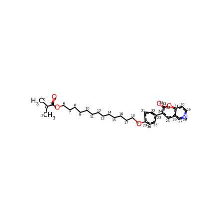 CC(C)C(=O)OCCCCCCCCCCCCCOc1ccc(-c2cc3cnccc3oc2=O)cc1